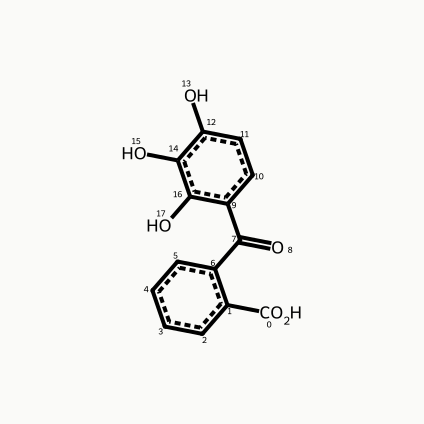 O=C(O)c1ccccc1C(=O)c1ccc(O)c(O)c1O